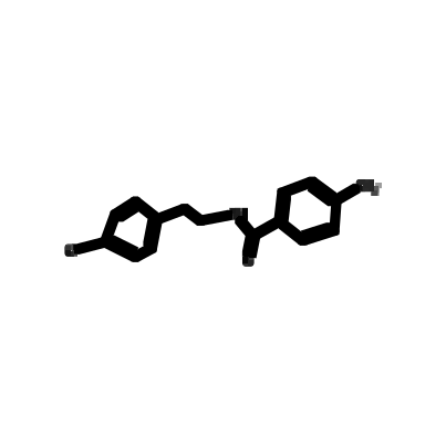 [CH2]c1ccc(C(=O)NCCc2ccc(Cl)cc2)cc1